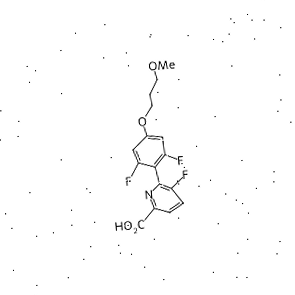 COCCCOc1cc(F)c(-c2nc(C(=O)O)ccc2F)c(F)c1